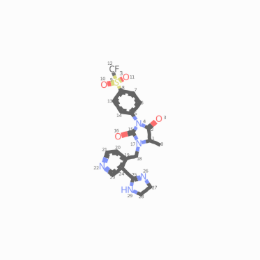 CC1C(=O)N(c2ccc(S(=O)(=O)C(F)(F)F)cc2)C(=O)N1Cc1ccncc1C1=NCCN1